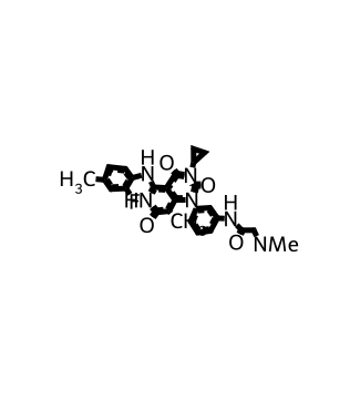 CNCC(=O)Nc1cccc(-n2c(=O)n(C3CC3)c(=O)c3c(Nc4ccc(C)cc4F)[nH]c(=O)c(C)c32)c1